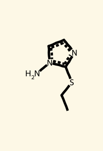 CCSc1nccn1N